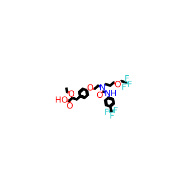 CCOC(Cc1ccc(OCCN(CCCOCC(F)(F)F)C(=O)Nc2ccc(C(F)(F)F)cc2)cc1)C(=O)O